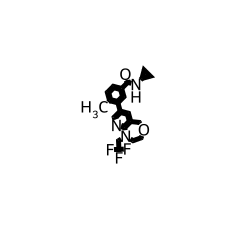 Cc1ccc(C(=O)NC2CC2)cc1-c1cnc2c(c1)COCCN2CC(F)(F)F